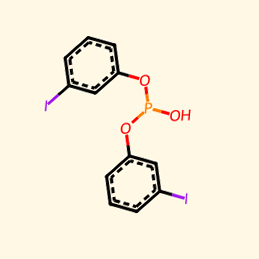 OP(Oc1cccc(I)c1)Oc1cccc(I)c1